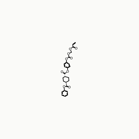 C=CC(=O)OCOC(=O)Oc1ccc(OC(=O)[C@H]2CC[C@H](C(=O)Oc3ccccc3)CC2)cc1